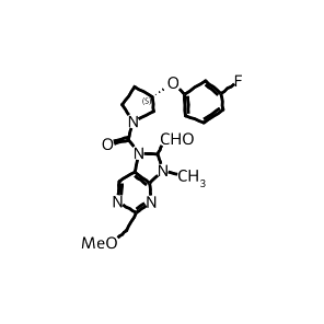 COCc1ncc2c(n1)N(C)C(C=O)N2C(=O)N1CC[C@H](Oc2cccc(F)c2)C1